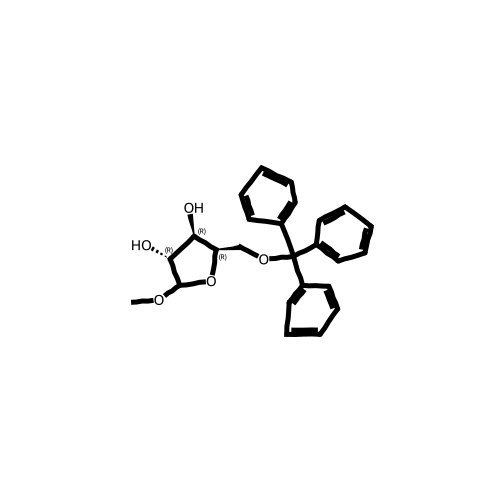 COC1O[C@H](COC(c2ccccc2)(c2ccccc2)c2ccccc2)[C@H](O)[C@H]1O